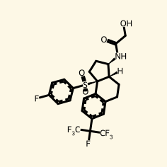 O=C(CO)N[C@@H]1CC[C@@]2(S(=O)(=O)c3ccc(F)cc3)c3ccc(C(F)(C(F)(F)F)C(F)(F)F)cc3CC[C@@H]12